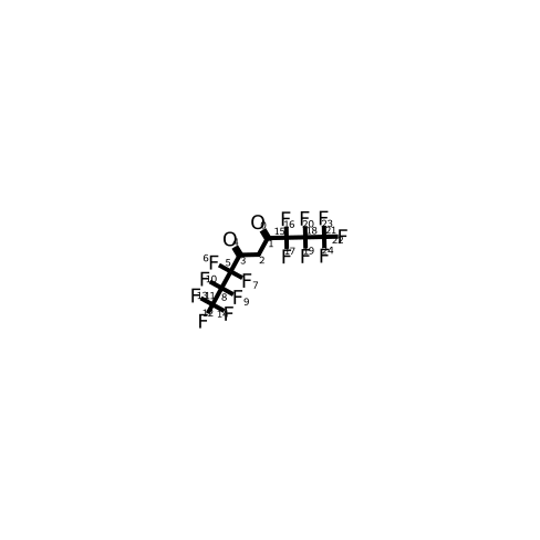 O=C(CC(=O)C(F)(F)C(F)(F)C(F)(F)F)C(F)(F)C(F)(F)C(F)(F)F